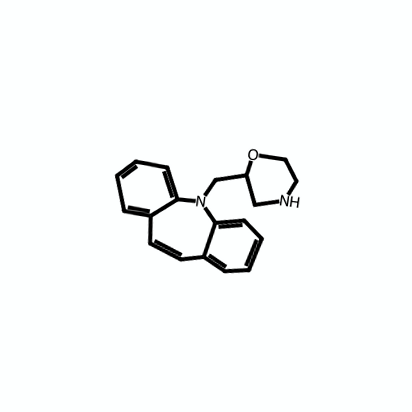 C1=Cc2ccccc2N(CC2CNCCO2)c2ccccc21